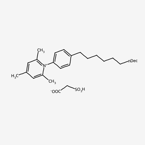 CCCCCCCCCCCCCCCCc1ccc(-[n+]2c(C)cc(C)cc2C)cc1.O=C([O-])CS(=O)(=O)O